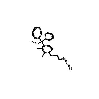 Cc1c(CCCN=C=O)ccc(C(OC(C)C)(c2ccccc2)c2ccccc2)c1C